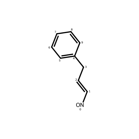 O=NC=CCc1ccccc1